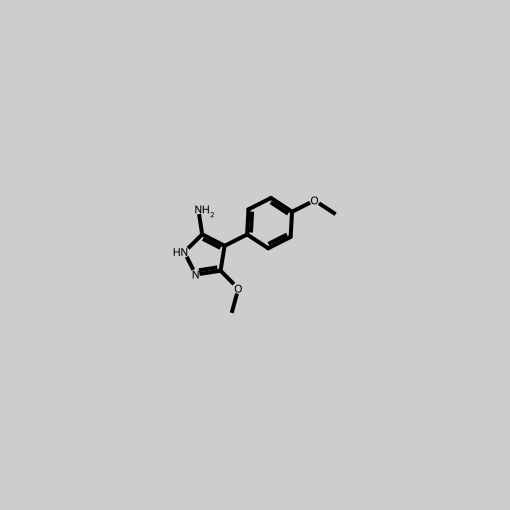 COc1ccc(-c2c(OC)n[nH]c2N)cc1